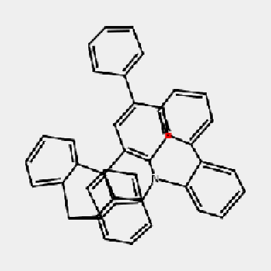 c1ccc(-c2ccc3c(c2)C24c5ccccc5C(c5ccccc52)c2cccc(c24)N3c2ccccc2-c2ccccc2)cc1